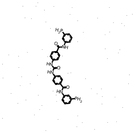 O=C(Nc1ccc(C(=O)Nc2cccc(P)c2)cc1)Nc1ccc(C(=O)Nc2cccc(P)c2)cc1